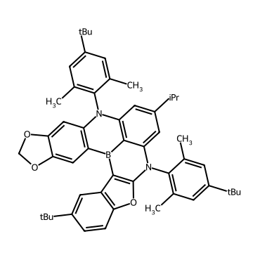 Cc1cc(C(C)(C)C)cc(C)c1N1c2cc3c(cc2B2c4c1cc(C(C)C)cc4N(c1c(C)cc(C(C)(C)C)cc1C)c1oc4ccc(C(C)(C)C)cc4c12)OCO3